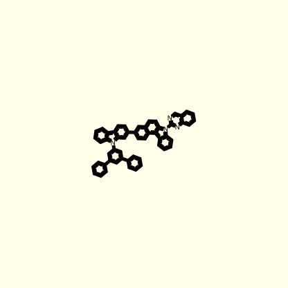 c1ccc(-c2cc(-c3ccccc3)cc(-n3c4ccccc4c4ccc(-c5ccc6c(ccc7c6c6ccccc6n7-c6ncc7ccccc7n6)c5)cc43)c2)cc1